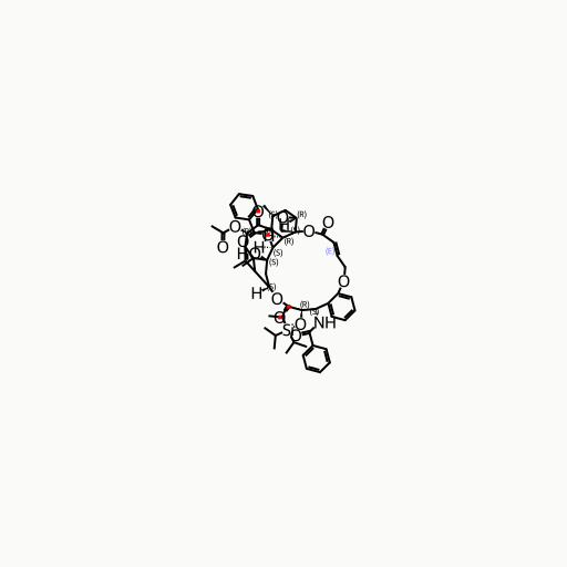 CC(=O)O[C@H]1C(=O)[C@@]2(C)[C@@H]3[C@H](OC(=O)c4ccccc4)[C@]4(O)C[C@H](OC(=O)[C@H](O[Si](C(C)C)(C(C)C)C(C)C)[C@@H](NC(=O)c5ccccc5)c5ccccc5OC/C=C/C(=O)O[C@]35CO[C@@H]5C[C@@H]2C)C(C)=C1C4(C)C